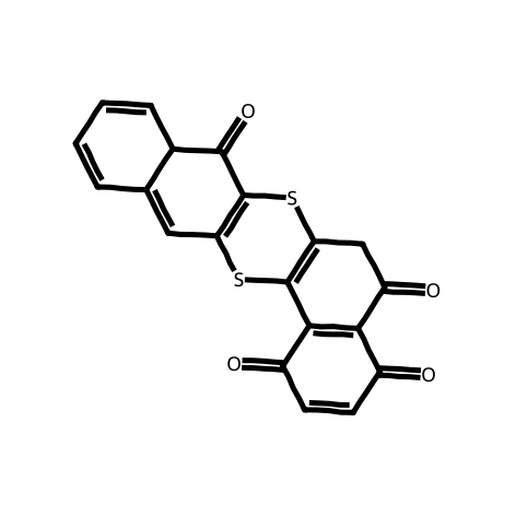 O=C1C=CC(=O)C2=C1C(=O)CC1=C2SC2=C(S1)C(=O)C1C=CC=CC1=C2